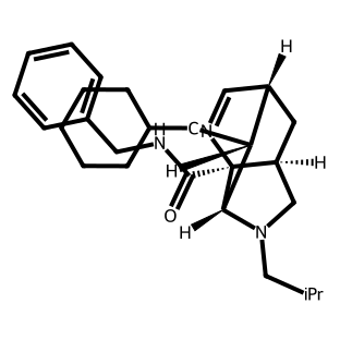 CC(C)CN1C[C@@H]2C[C@H]3C=N[C@]2(C(=O)NCc2ccccc2)[C@@H]1[C@@H]3CC1CCCCC1